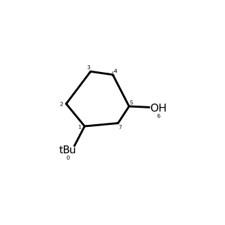 CC(C)(C)C1CC[CH]C(O)C1